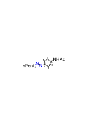 CCCCC/N=N/c1ccc(NC(C)=O)cc1